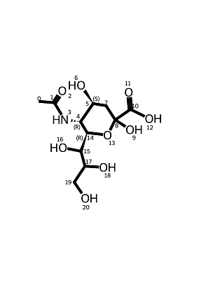 CC(=O)N[C@@H]1[C@@H](O)CC(O)(C(=O)O)O[C@H]1C(O)C(O)CO